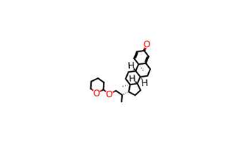 CC(COC1CCCCO1)[C@H]1CC[C@H]2[C@@H]3CCC4=CC(=O)C=C[C@]4(C)[C@H]3CC[C@]12C